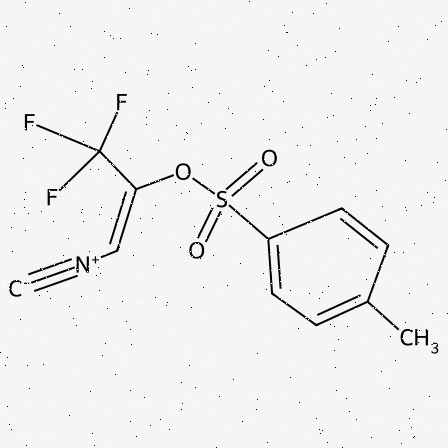 [C-]#[N+]C=C(OS(=O)(=O)c1ccc(C)cc1)C(F)(F)F